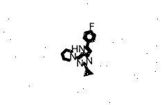 Fc1ccc(-c2cc3nc(C4CC4)nc(N4CCCCC4)c3[nH]2)cc1